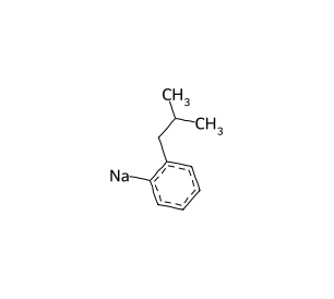 CC(C)Cc1cccc[c]1[Na]